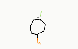 F[C@H]1CCCC(P)CC1